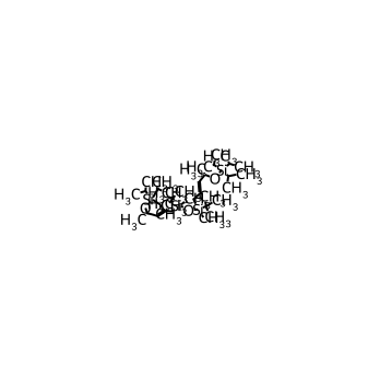 CC(C=CC[Si](C)(O[Si](C)(CC=CC(C)O[Si](C(C)C)(C(C)C)C(C)C)C(C)(C)C)C(C)(C)C)O[Si](C(C)C)(C(C)C)C(C)C